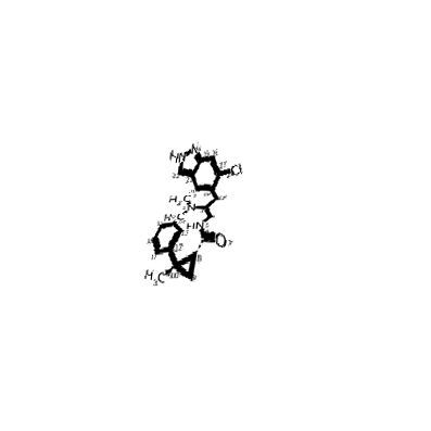 CN(C)C(CNC(=O)[C@@H]1C[C@]1(C)c1ccccc1)Cc1cc2c[nH]nc2cc1Cl